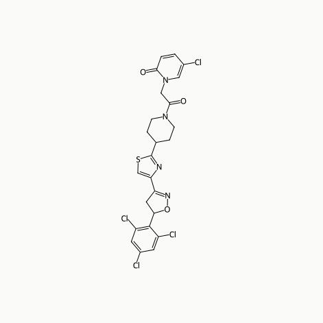 O=C(Cn1cc(Cl)ccc1=O)N1CCC(c2nc(C3=NOC(c4c(Cl)cc(Cl)cc4Cl)C3)cs2)CC1